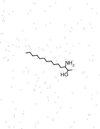 CCCCCCCCCCCC(N)C(C)O